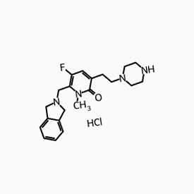 Cl.Cn1c(CN2Cc3ccccc3C2)c(F)cc(CCN2CCNCC2)c1=O